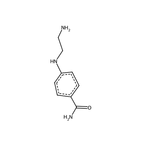 NCCNc1ccc(C(N)=O)cc1